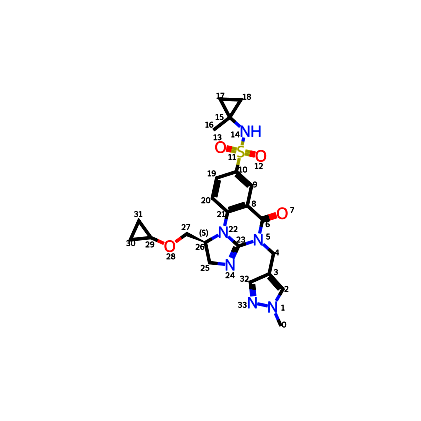 Cn1cc(CN2C(=O)c3cc(S(=O)(=O)NC4(C)CC4)ccc3N3C2=NC[C@H]3COC2CC2)cn1